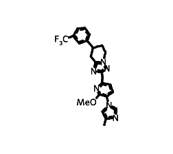 COc1nc(-c2nc3n(n2)CCC(c2cccc(C(F)(F)F)c2)C3)ccc1-n1cnc(C)c1